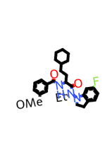 CCN(C(=O)C(CCC1CCCCC1)NC(=O)c1cccc(OC)c1)N1CCc2ccc(F)cc21